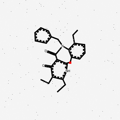 CCc1cccc(C)c1N(Cc1ccccc1)C(=O)c1c(C)[nH]c(CC)c(CC)c1=O